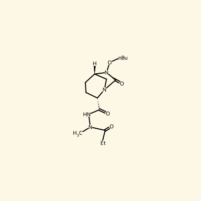 CCCCON1C(=O)N2C[C@@H]1CC[C@H]2C(=O)NN(C)C(=O)CC